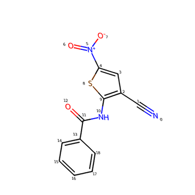 N#Cc1cc([N+](=O)[O-])sc1NC(=O)c1ccccc1